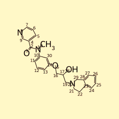 CN(C(=O)c1cccnc1)c1cccc(OCC(O)CN2CCc3ccccc3C2)c1